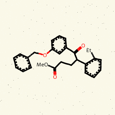 CCc1ccccc1C(CCC(=O)OC)C(=O)c1cccc(OCc2ccccc2)c1